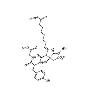 CCCCCCCC(=O)CCCCCC/C=C/[C@H](C(=O)N[C@@H](Cc1ccc(O)cc1)C(=O)NCC(=O)OC)[C@@](O)(CC(=O)O)C(=O)OC(C)(C)C